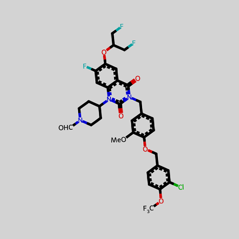 COc1cc(Cn2c(=O)c3cc(OC(CF)CF)c(F)cc3n(C3CCN(C=O)CC3)c2=O)ccc1OCc1ccc(OC(F)(F)F)c(Cl)c1